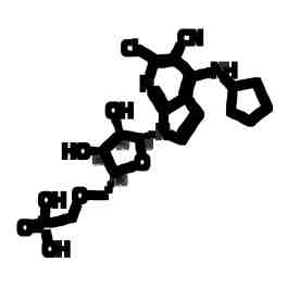 N#Cc1c(Cl)nc2c(ccn2[C@@H]2O[C@H](COCP(=O)(O)O)[C@@H](O)[C@H]2O)c1NC1CCCC1